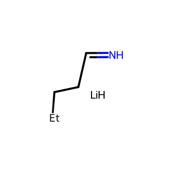 CCCCC=N.[LiH]